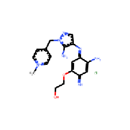 C[n+]1ccc(Cn2ncc(N=C3C=C(OCCO)C(=N)C=C3N)c2N)cc1.[Cl-]